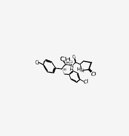 C[C@@H](NC(=O)C1CCC(=O)N1)[C@H](Cc1ccc(Cl)cc1)c1ccc(Cl)cc1